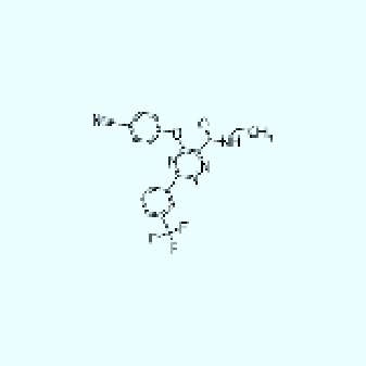 CCNC(=O)c1nnc(-c2cccc(C(F)(F)F)c2)nc1Oc1ccc(C#N)cc1